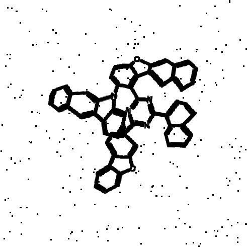 c1ccc2cc3c(cc2c1)oc1ccc(-n2c4ccccc4c4cc5ccccc5cc42)c(-c2nc(-c4ccc5c(c4)oc4ccccc45)nc(-c4cccc5ccccc45)n2)c13